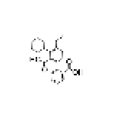 CCCc1ccc(-c2ccccc2C(=O)O)c(C(=O)O)c1C1CCCCC1